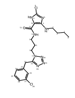 CCCCNc1nc(Cl)[nH]c1C(=O)NCCCn1nnnc1Cc1cccc(Cl)c1